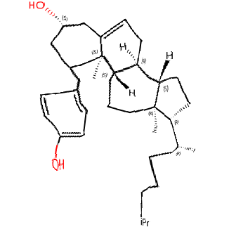 CC(C)CCC[C@@H](C)[C@H]1CC[C@H]2[C@@H]3CC=C4C[C@@H](O)CC(c5ccc(O)cc5)[C@]4(C)[C@H]3CC[C@]12C